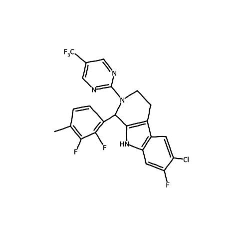 Cc1ccc(C2c3[nH]c4cc(F)c(Cl)cc4c3CCN2c2ncc(C(F)(F)F)cn2)c(F)c1F